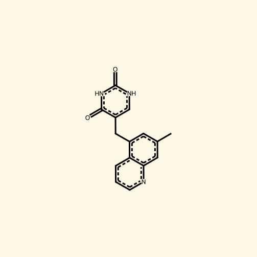 Cc1cc(Cc2c[nH]c(=O)[nH]c2=O)c2cccnc2c1